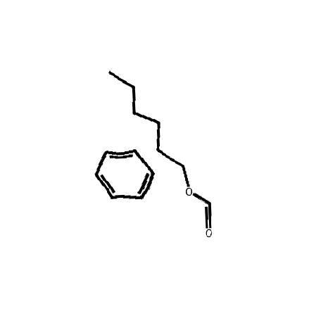 CCCCCCOC=O.c1ccccc1